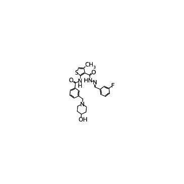 Cc1csc(NC(=O)c2cccc(CN3CCC(O)CC3)c2)c1C(=O)NN=Cc1cccc(F)c1